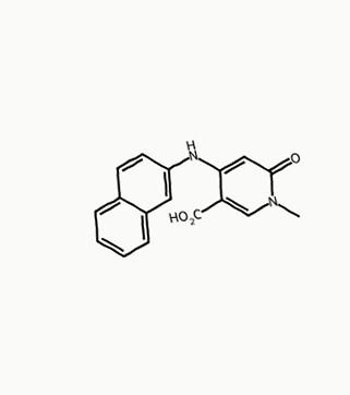 Cn1cc(C(=O)O)c(Nc2ccc3ccccc3c2)cc1=O